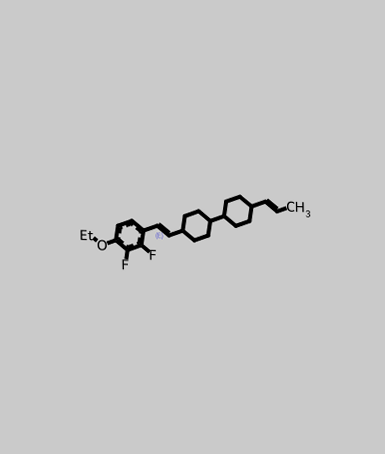 CC=CC1CCC(C2CCC(/C=C/c3ccc(OCC)c(F)c3F)CC2)CC1